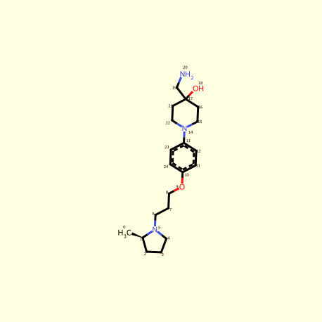 C[C@@H]1CCCN1CCCOc1ccc(N2CCC(O)(CN)CC2)cc1